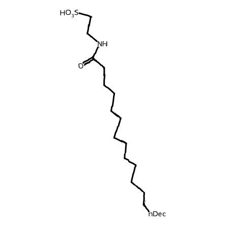 CCCCCCCCCCCCCCCCCCCCCCC(=O)NCCS(=O)(=O)O